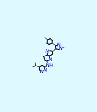 Cc1ccc(-c2nn(C)cc2-c2cnc3ccc(Nc4cc(C(C)C)cnn4)nc3c2)cc1